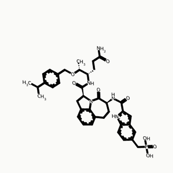 CC(C)c1ccc(CO[C@H](C)[C@H](CCC(N)=O)NC(=O)[C@@H]2Cc3cccc4c3N2C(=O)[C@@H](NC(=O)c2cc3cc(CP(=O)(O)O)ccc3[nH]2)CC4)cc1